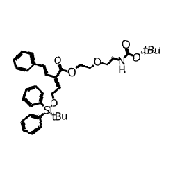 CC(C)(C)OC(=O)NCCOCCOC(=O)C(/C=C/c1ccccc1)=C/CO[Si](c1ccccc1)(c1ccccc1)C(C)(C)C